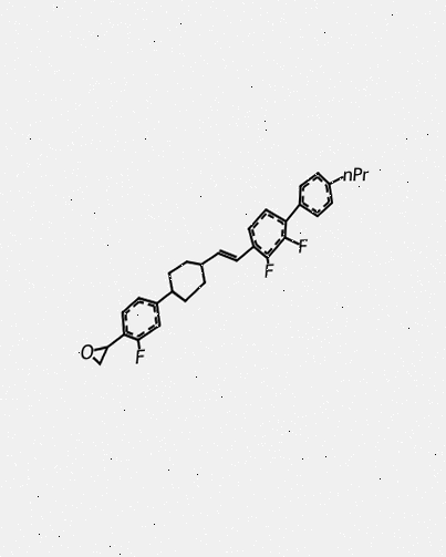 CCCc1ccc(-c2ccc(/C=C/C3CCC(c4ccc(C5CO5)c(F)c4)CC3)c(F)c2F)cc1